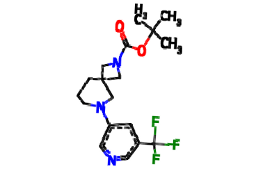 CC(C)(C)OC(=O)N1CC2(CCCN(c3cncc(C(F)(F)F)c3)C2)C1